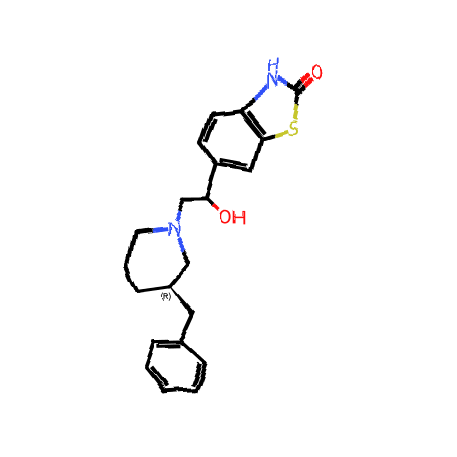 O=c1[nH]c2ccc(C(O)CN3CCC[C@H](Cc4ccccc4)C3)cc2s1